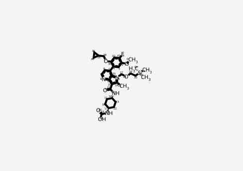 COc1cc(-c2ccnc3c(C(=O)N[C@H]4CC[C@H](NC(=O)O)CC4)c(C)n(COCC[Si](C)(C)C)c23)c(OCC2CC2)cc1F